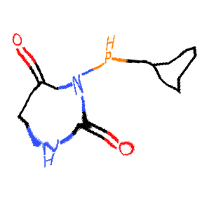 O=C1CNC(=O)N1PC1CC1